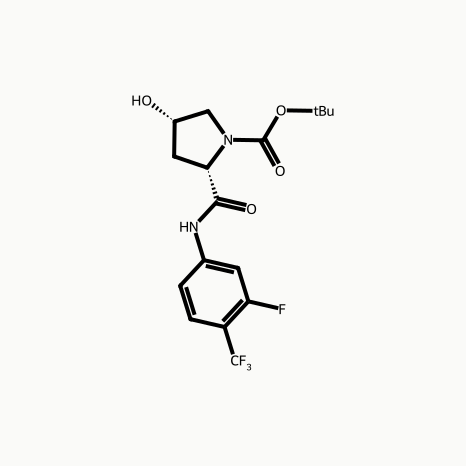 CC(C)(C)OC(=O)N1C[C@@H](O)C[C@H]1C(=O)Nc1ccc(C(F)(F)F)c(F)c1